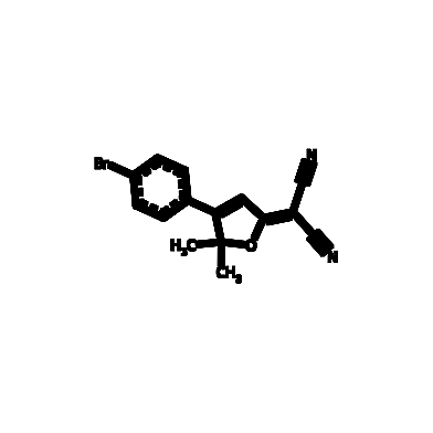 CC1(C)OC(=C(C#N)C#N)C=C1c1ccc(Br)cc1